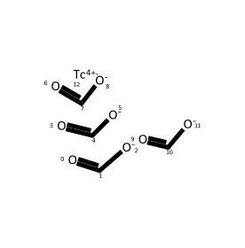 O=C[O-].O=C[O-].O=C[O-].O=C[O-].[Tc+4]